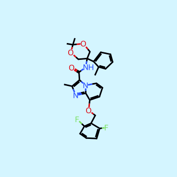 Cc1ccccc1C1(NC(=O)c2c(C)nc3c(OCc4c(F)cccc4F)cccn23)COC(C)(C)OC1